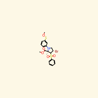 COSc1cccc(N2C[C@H](Br)C(S(=O)(=O)c3ccccc3)[C@@]2(C)C(=O)OC)c1